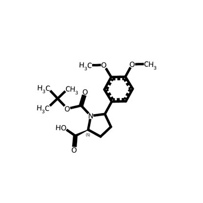 COc1ccc(C2CC[C@@H](C(=O)O)N2C(=O)OC(C)(C)C)cc1OC